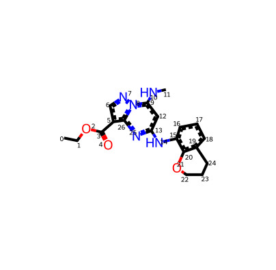 CCOC(=O)c1cnn2c(NC)cc(Nc3cccc4c3OCCC4)nc12